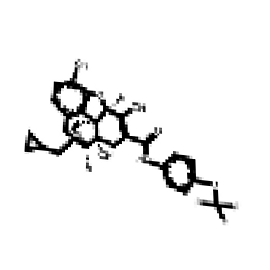 O=C(Nc1ccc(OC(F)(F)F)cc1)C1=C(O)[C@@H]2Oc3c(O)ccc4c3[C@@]23CCN(CC2CC2)[C@H](C4)[C@]3(O)C1